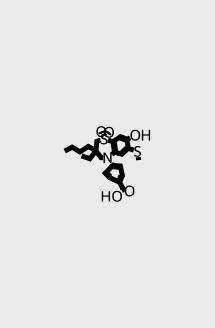 CCCCC1(CC)CN(c2ccc(C(=O)O)cc2)c2cc(SC)c(O)cc2S(=O)(=O)C1